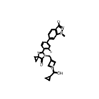 Cn1nc(Cl)c2ccc(-c3ccc(C4=NC5(CC5)C(=O)N4CC4CN(C(O)C5CC5)C4)c(F)c3)cc21